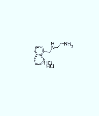 Cl.Cl.NCCNCc1cccc2ccccc12